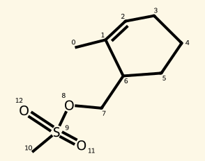 CC1=CCCCC1COS(C)(=O)=O